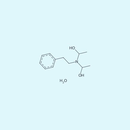 CC(O)N(CCc1ccccc1)C(C)O.O